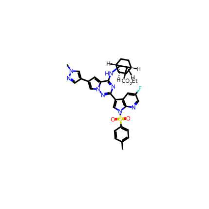 CCOC(=O)[C@H]1[C@H]2CC[C@H](CC2)[C@@H]1Nc1nc(-c2cn(S(=O)(=O)c3ccc(C)cc3)c3ncc(F)cc23)nn2cc(-c3cnn(C)c3)cc12